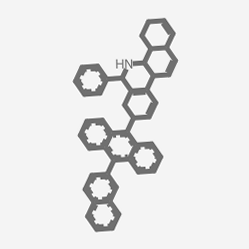 C1=CC2C=CC3C4=C(CC(c5c6ccccc6c(-c6ccc7ccccc7c6)c6ccccc56)C=C4)C(c4ccccc4)NC3C2CC1